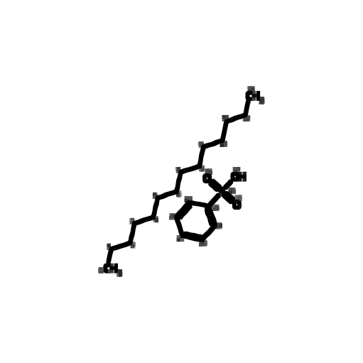 CCCCCCCCCCCCCC.O=S(=O)(O)c1ccccc1